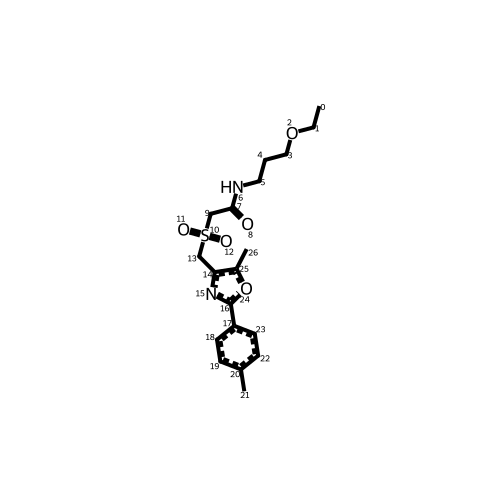 CCOCCCNC(=O)CS(=O)(=O)Cc1nc(-c2ccc(C)cc2)oc1C